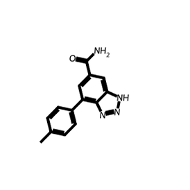 Cc1ccc(-c2cc(C(N)=O)cc3[nH]nnc23)cc1